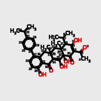 CC(=O)C1=C(O)C(C(C)C)[C@@]2(C)C[C@@]3(C)Cc4c(-c5ccc(C(C)C)cc5)ccc(O)c4C(=O)C3=C(O)[C@@]2(O)C1=O